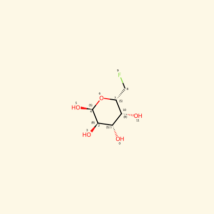 O[C@@H]1[C@@H](O)[C@@H](O)O[C@H](CF)[C@@H]1O